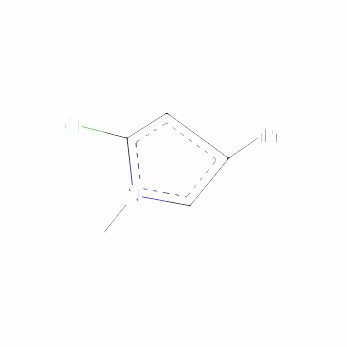 CC(C)c1cc(Cl)n(C)c1